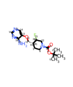 CC(C)(C)OC(=O)N1CC[C@H](COc2cncnc2N)[C@@H](F)C1